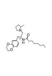 CCCCCCCC(=O)N[C@@H](Cc1ccc2c(c1)OCCO2)CN1CCCC1C